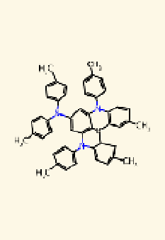 CC1=CC=C2C(C1)B1c3cc(C)ccc3N(c3ccc(C)cc3)c3cc(N(c4ccc(C)cc4)c4ccc(C)cc4)cc(c31)N2c1ccc(C)cc1